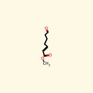 COC(=O)/C=C/CCCC=O